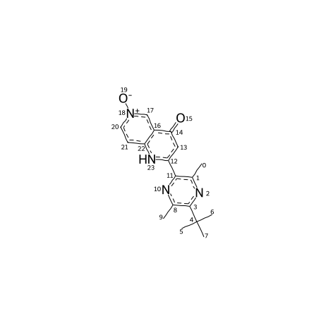 Cc1nc(C(C)(C)C)c(C)nc1-c1cc(=O)c2c[n+]([O-])ccc2[nH]1